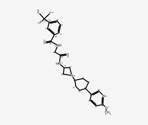 COc1ccc(C2CCC(N3CC(NC(=O)CNC(=O)c4cccc(C(F)(F)F)c4)C3)CC2)cn1